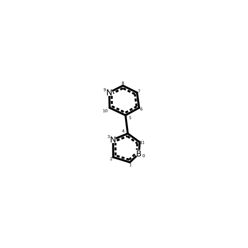 b1ccnc(-c2cccnc2)c1